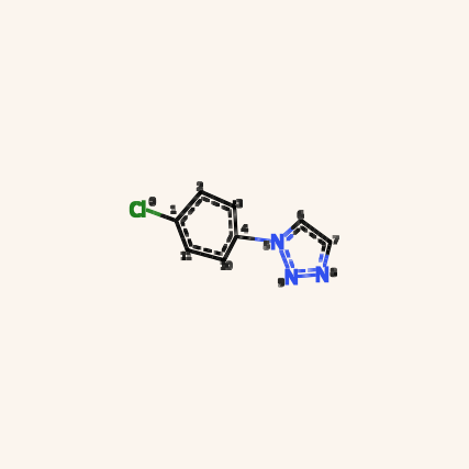 Clc1c[c]c(-n2ccnn2)cc1